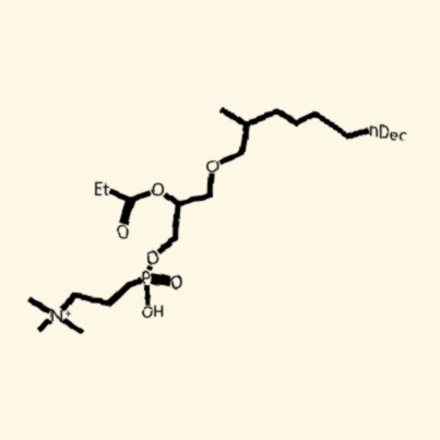 CCCCCCCCCCCCCCC(C)COCC(COP(=O)(O)CCC[N+](C)(C)C)OC(=O)CC